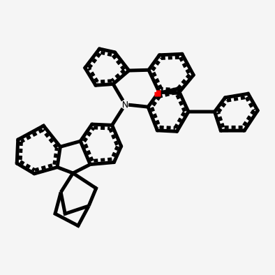 c1ccc(-c2ccc(N(c3ccc4c(c3)-c3ccccc3C43CC4CCC3C4)c3ccccc3-c3ccccc3)cc2)cc1